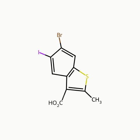 Cc1sc2cc(Br)c(I)cc2c1C(=O)O